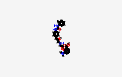 COC(=O)c1cccc(N(C)C)c1OCCNCC(=O)Cc1ccc(NC(=O)Nc2ccccc2C)cc1